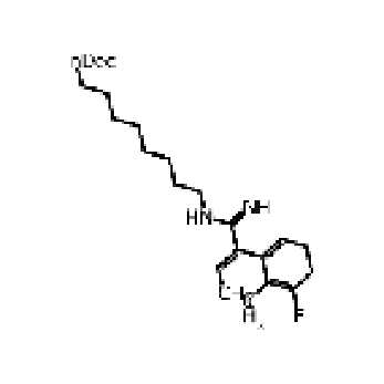 C/C=C(/C(=N)NCCCCCCCCCCCCCCCCCC)C1=CCCC(F)=C1C